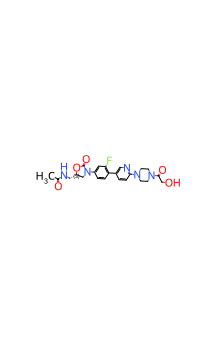 CC(=O)NC[C@H]1CN(c2ccc(-c3ccc(N4CCN(C(=O)CO)CC4)nc3)c(F)c2)C(=O)O1